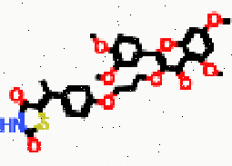 COc1cc(OC)c2c(=O)c(OCCCOc3ccc(C(C)=C4SC(=O)NC4=O)cc3)c(-c3ccc(OC)c(OC)c3)oc2c1